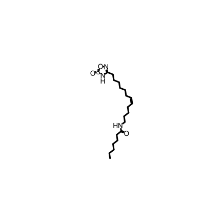 CCCCCCC(=O)NCCCC/C=C\CCCCCCC1=NOS(=O)N1